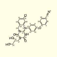 N#Cc1ccc(Oc2ccc(/N=c3\[nH]c(=O)n(C[C@@H](O)CO)c(=O)n3Cc3ccc(Cl)cc3)cc2)cc1